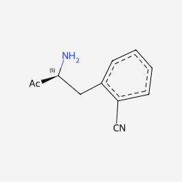 CC(=O)[C@@H](N)Cc1ccccc1C#N